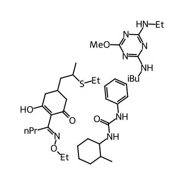 CC1CCCCC1NC(=O)Nc1ccccc1.CCCC(=NOCC)C1=C(O)CC(CC(C)SCC)CC1=O.CCNc1nc(NC(C)CC)nc(OC)n1